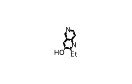 CCc1nc2ccncc2cc1O